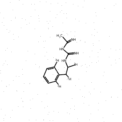 [2H]c1cccc([2H])c1C([2H])C([2H])NC(=N)NC(C)=N